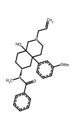 C=CCN1CCC2(c3cccc(OC)c3)C[C@@H](N(C)C(=O)c3ccccc3)CCC2(O)C1